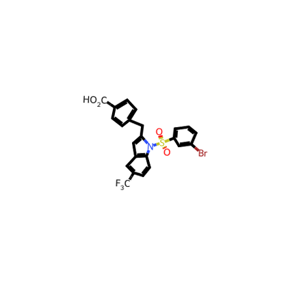 O=C(O)c1ccc(Cc2cc3cc(C(F)(F)F)ccc3n2S(=O)(=O)c2cccc(Br)c2)cc1